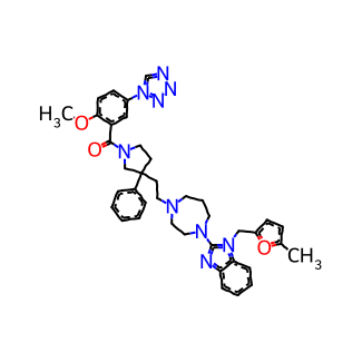 COc1ccc(-n2cnnn2)cc1C(=O)N1CCC(CCN2CCCN(c3nc4ccccc4n3Cc3ccc(C)o3)CC2)(c2ccccc2)C1